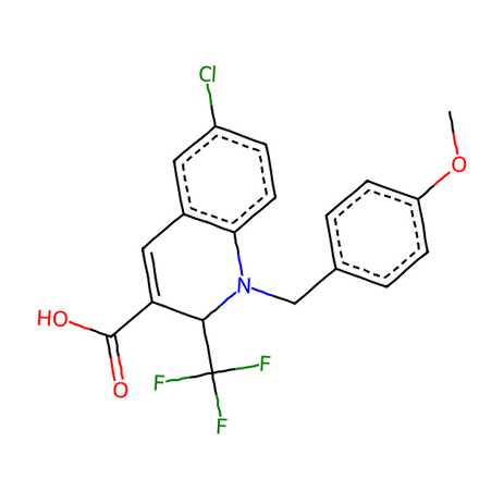 COc1ccc(CN2c3ccc(Cl)cc3C=C(C(=O)O)C2C(F)(F)F)cc1